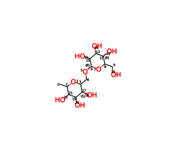 CC1OC(CO[C@@H]2OC(CO)[C@H](O)C(O)C2O)[C@@H](O)C(O)C1O